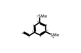 C=[C]c1cc(SC)cc(SC)c1